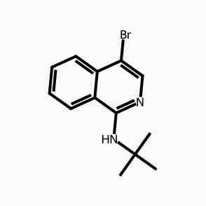 CC(C)(C)Nc1ncc(Br)c2ccccc12